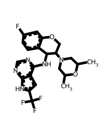 CC1CN(C2COc3cc(F)ccc3C2Nc2ncnc3[nH]c(C(F)(F)F)cc23)CC(C)O1